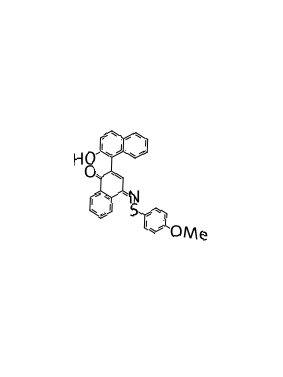 COc1ccc(S/N=C2/C=C(c3c(O)ccc4ccccc34)C(=O)c3ccccc32)cc1